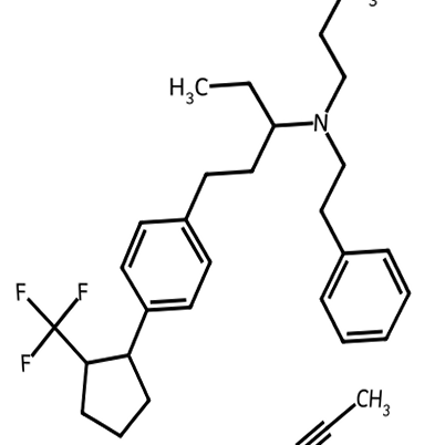 CC#N.CCCN(CCc1ccccc1)C(CC)CCc1ccc(C2CCCC2C(F)(F)F)cc1